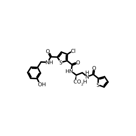 O=C(NC[C@H](NC(=O)c1sc(C(=O)NCc2cccc(O)c2)cc1Cl)C(=O)O)c1cccs1